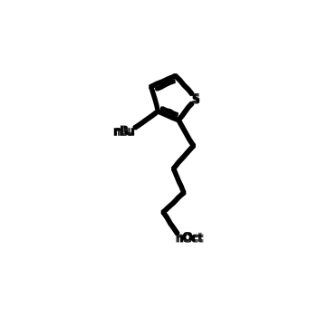 CCCCCCCCCCCCc1sccc1CCCC